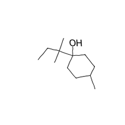 CCC(C)(C)C1(O)CCC(C)CC1